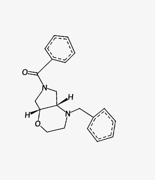 O=C(c1ccccc1)N1C[C@H]2OCCN(Cc3ccccc3)[C@H]2C1